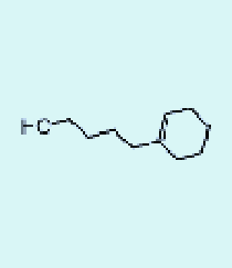 OCCCCC1=CCCCC1